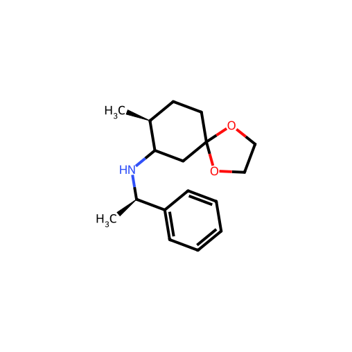 C[C@@H](NC1CC2(CC[C@@H]1C)OCCO2)c1ccccc1